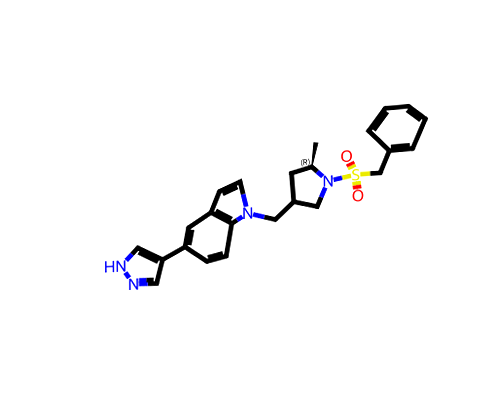 C[C@@H]1CC(Cn2ccc3cc(-c4cn[nH]c4)ccc32)CN1S(=O)(=O)Cc1ccccc1